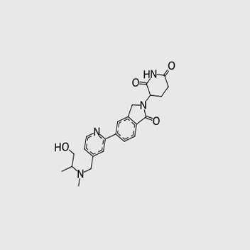 CC(CO)N(C)Cc1ccnc(-c2ccc3c(c2)CN(C2CCC(=O)NC2=O)C3=O)c1